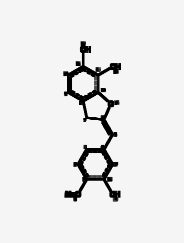 COc1ccc(C=C2Cc3ccc(O)c(O)c3O2)cc1O